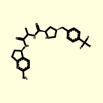 CC(NC(=O)[C@H]1C[C@H](Cc2ccc(C(F)(F)F)cc2)CN1)C(=O)N[C@@H]1CCc2nc(N)ccc21